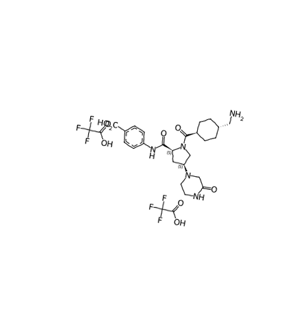 NC[C@H]1CC[C@H](C(=O)N2C[C@@H](N3CCNC(=O)C3)C[C@H]2C(=O)Nc2ccc(C(=O)O)cc2)CC1.O=C(O)C(F)(F)F.O=C(O)C(F)(F)F